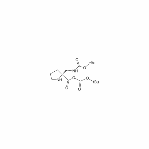 CC(C)(C)OC(=O)NC[C@]1(C(=O)OC(=O)OC(C)(C)C)CCCN1